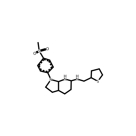 CS(=O)(=O)c1ccc(N2CCC3CCC(NCC4CCCS4)NC32)cc1